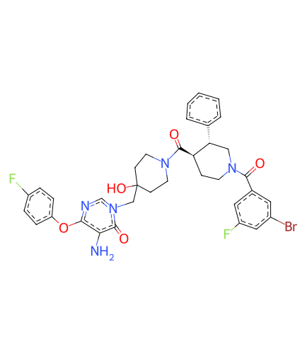 Nc1c(Oc2ccc(F)cc2)ncn(CC2(O)CCN(C(=O)[C@@H]3CCN(C(=O)c4cc(F)cc(Br)c4)C[C@H]3c3ccccc3)CC2)c1=O